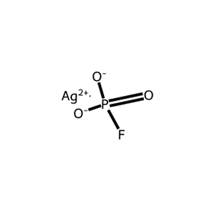 O=P([O-])([O-])F.[Ag+2]